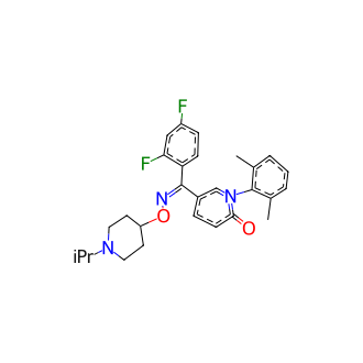 Cc1cccc(C)c1-n1cc(/C(=N\OC2CCN(C(C)C)CC2)c2ccc(F)cc2F)ccc1=O